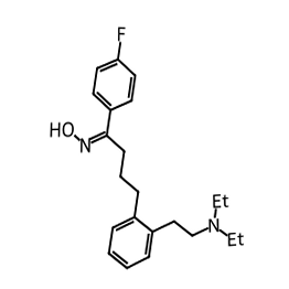 CCN(CC)CCc1ccccc1CCCC(=NO)c1ccc(F)cc1